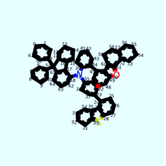 c1ccc(C2(c3ccccc3)c3ccccc3-c3c(N(c4ccc(-c5cccc6sc7ccccc7c56)cc4)c4ccccc4-c4cccc5oc6c7ccccc7ccc6c45)cccc32)cc1